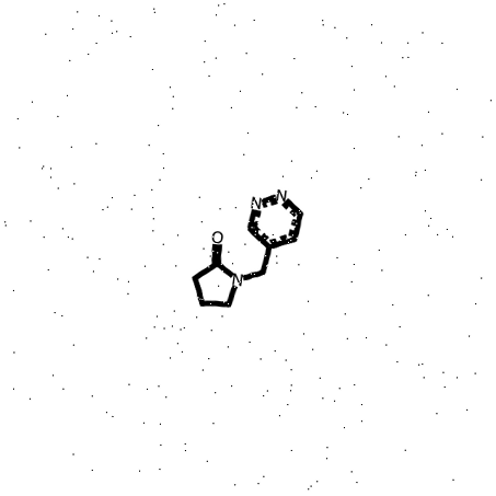 O=C1CCCN1Cc1ccnnc1